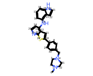 CN1CCN(Cc2ccc(-c3cc4c(Nc5cccc6[nH]ccc56)ccnc4s3)cc2)CC1